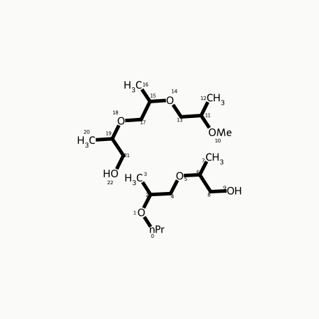 CCCOC(C)COC(C)CO.COC(C)COC(C)COC(C)CO